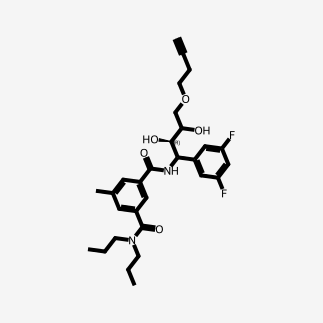 C#CCCOCC(O)[C@H](O)C(NC(=O)c1cc(C)cc(C(=O)N(CCC)CCC)c1)c1cc(F)cc(F)c1